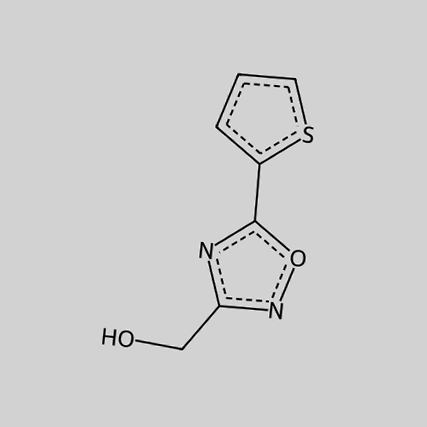 OCc1noc(-c2cccs2)n1